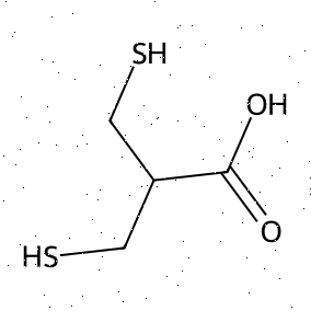 O=C(O)C(CS)CS